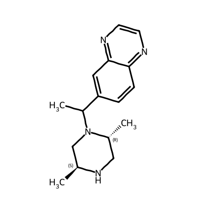 CC(c1ccc2nccnc2c1)N1C[C@H](C)NC[C@H]1C